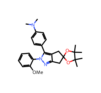 COc1ccccc1-n1nc2c(c1-c1ccc(N(C)C)cc1)CC1(C2)OC(C)(C)C(C)(C)O1